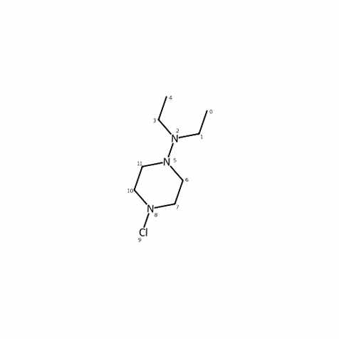 CCN(CC)N1CCN(Cl)CC1